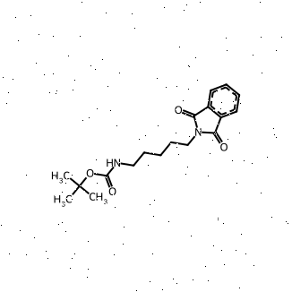 CC(C)(C)OC(=O)NCCCCCN1C(=O)c2ccccc2C1=O